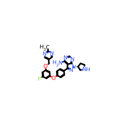 Cc1ncc(COc2cc(F)cc(Oc3ccc(-c4nn([C@@H]5CCNC5)c5ncnc(N)c45)cc3)c2)cn1